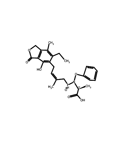 CCc1c(C)c2c(c(O)c1CC=C(C)C[PH](=O)N(Oc1ccccc1)[C@@H](C)C(=O)O)C(=O)OC2